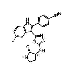 N#Cc1ccc(-c2[nH]c3ccc(F)cc3c2-c2nnc(N[C@H]3CCNC3=O)o2)cc1